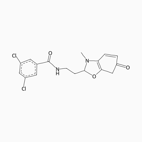 CN1C2=C(CC(=O)C=C2)OC1CCNC(=O)c1cc(Cl)cc(Cl)c1